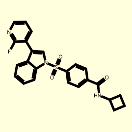 O=C(NC1CCC1)c1ccc(S(=O)(=O)n2cc(-c3cccnc3F)c3ccccc32)cc1